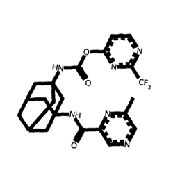 Cc1cncc(C(=O)NC23CC4CC(CC(NC(=O)Oc5ccnc(C(F)(F)F)n5)(C4)C2)C3)n1